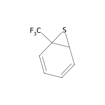 FC(F)(F)C12C=CC=CC1S2